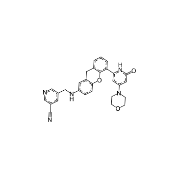 N#Cc1cncc(CNc2ccc3c(c2)Cc2cccc(-c4cc(N5CCOCC5)cc(=O)[nH]4)c2O3)c1